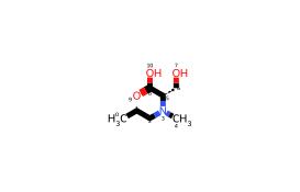 CCCN(C)[C@@H](CO)C(=O)O